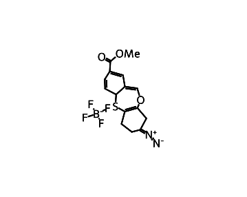 COC(=O)C1=CC2=COC3=C(CCC(=[N+]=[N-])C3)SC2C=C1.F[B-](F)(F)F